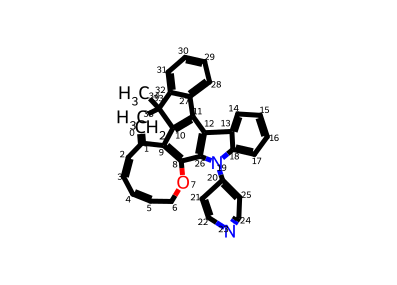 C=C1/C=C\C=C/COc2c1c1c(c3c4ccccc4n(-c4ccncc4)c23)-c2ccccc2C1(C)C